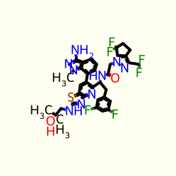 Cn1nc(N)c2cccc(-c3cc4sc(NCC(C)(C)O)nc4nc3C(Cc3cc(F)cc(F)c3)NC(=O)Cn3nc(C(F)F)c4c3C(F)(F)CC4)c21